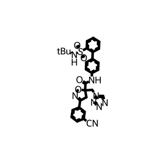 CC(C)(C)NS(=O)(=O)c1ccccc1-c1ccc(NC(=O)C2(Cn3cnnn3)CC(c3cccc(C#N)c3)=NO2)cc1